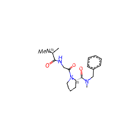 CN[C@@H](C)C(=O)NCC(=O)N1CCC[C@H]1C(=O)N(C)Cc1ccccc1